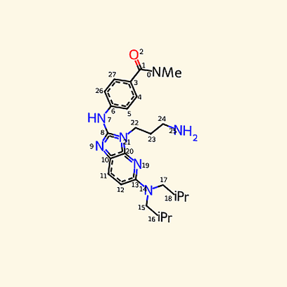 CNC(=O)c1ccc(Nc2nc3ccc(N(CC(C)C)CC(C)C)nc3n2CCCN)cc1